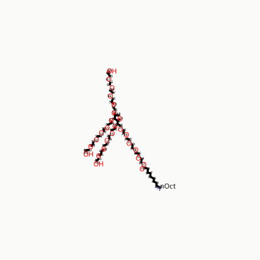 CCCCCCCC/C=C\CCCCCCCC(=O)OCCOCCOCCOCCOCCOCC(OCCOCCOCCOCCOCCO)C1OCC(OCCOCCOCCOCCOCCO)C1OCCOCCOCCOCCOCCO